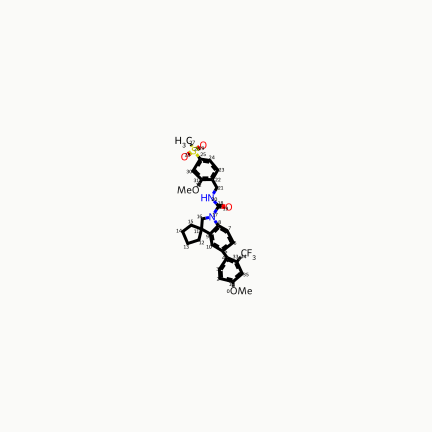 COc1ccc(-c2ccc3c(c2)C2(CCCC2)CN3C(=O)NCc2ccc(S(C)(=O)=O)cc2OC)c(C(F)(F)F)c1